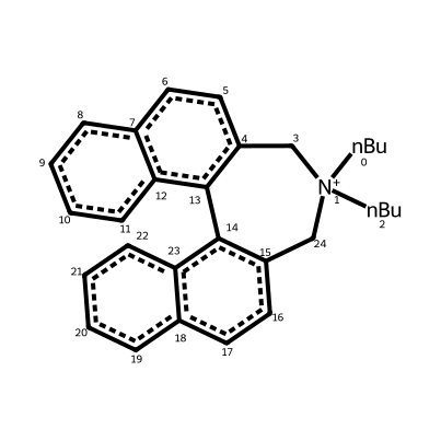 CCCC[N+]1(CCCC)Cc2ccc3ccccc3c2-c2c(ccc3ccccc23)C1